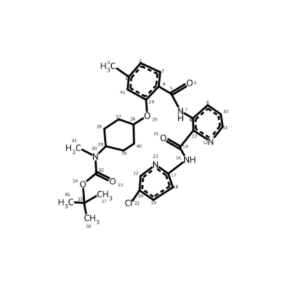 Cc1ccc(C(=O)Nc2cccnc2C(=O)Nc2ccc(Cl)cn2)c(OC2CCC(N(C)C(=O)OC(C)(C)C)CC2)c1